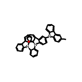 Cc1ccc2c(c1)c1ccccc1n2-c1ccc2c(c1)c1ccccc1n2-c1ccccc1-n1c2ccccc2c2ccccc21